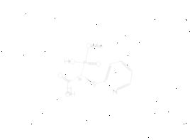 COP(=O)(O)[C@@H](Sc1ccccn1)[PH](=O)O